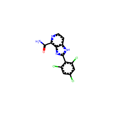 NC(=O)c1nccc2[nH]c(-c3c(Cl)cc(Cl)cc3Cl)nc12